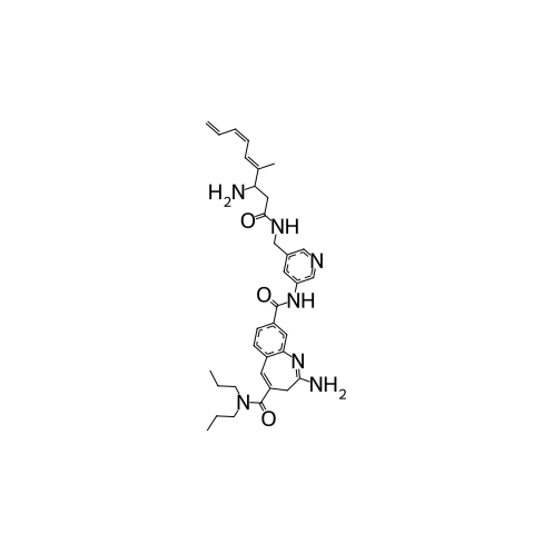 C=C/C=C\C=C(/C)C(N)CC(=O)NCc1cncc(NC(=O)c2ccc3c(c2)N=C(N)CC(C(=O)N(CCC)CCC)=C3)c1